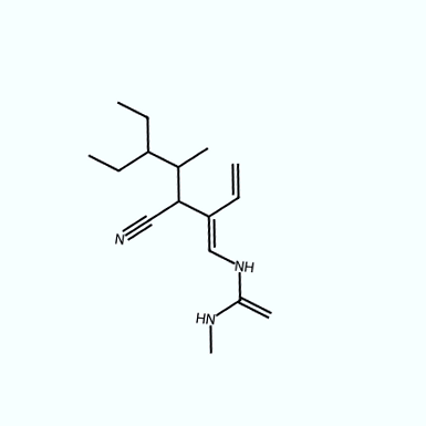 C=C/C(=C\NC(=C)NC)C(C#N)C(C)C(CC)CC